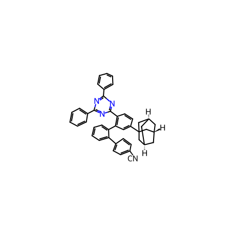 N#Cc1ccc(-c2ccccc2-c2cc(C34C[C@H]5C[C@@H](C3)C[C@@H](C4)C5)ccc2-c2nc(-c3ccccc3)nc(-c3ccccc3)n2)cc1